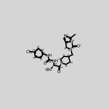 Cc1ncc2n1C(=O)N(CC1CCN(C(=O)[C@H](NC(=O)Nc3ccc(Cl)cc3)C(C)(C)C)CC1)C2